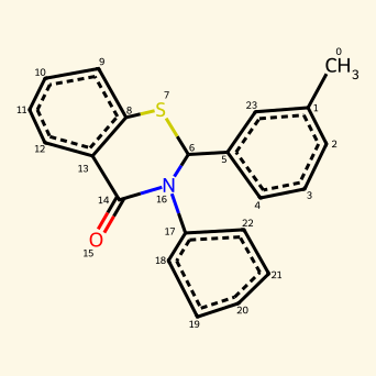 Cc1cccc(C2Sc3ccccc3C(=O)N2c2ccccc2)c1